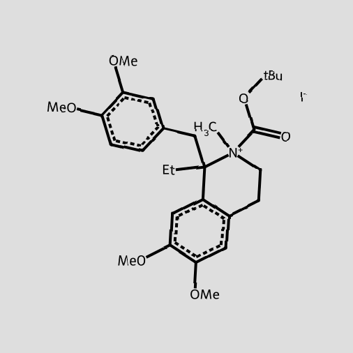 CCC1(Cc2ccc(OC)c(OC)c2)c2cc(OC)c(OC)cc2CC[N+]1(C)C(=O)OC(C)(C)C.[I-]